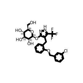 OC[C@H]1O[C@@H](Oc2n[nH]c(C(F)(F)F)c2Cc2ccccc2OCc2cccc(Cl)c2)[C@H](O)[C@@H](O)[C@@H]1O